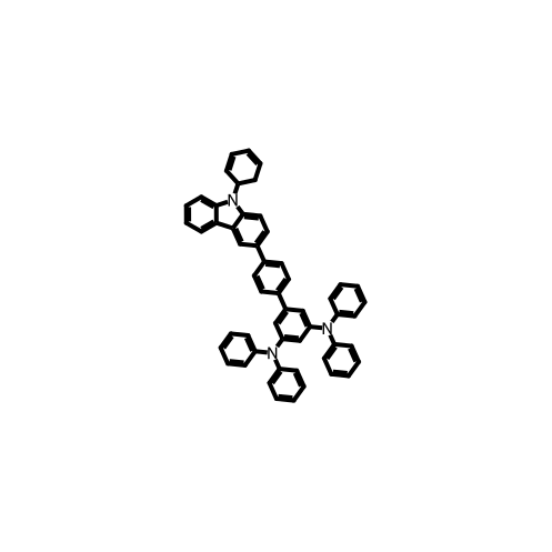 C1=CCC(n2c3ccccc3c3cc(-c4ccc(-c5cc(N(c6ccccc6)c6ccccc6)cc(N(c6ccccc6)c6ccccc6)c5)cc4)ccc32)C=C1